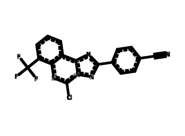 N#Cc1ccc(-c2nc3c4cccc(C(F)(F)F)c4nc(Cl)n3n2)cc1